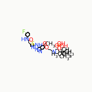 COc1cc2c(Nc3ncc(CC(=O)Nc4cccc(F)c4)s3)ncnc2cc1OCCCN1CCC(C(COP(=O)(O)O)(C(C)(C)C)C(C)(C)C)CC1